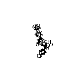 Cc1onc(-c2ccc(Cl)nc2)c1Cn1ncc(N2CCN(c3cncnc3)CC2)cc1=O